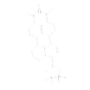 CN1C(=O)c2ccc3c4cccc5c(B6OC(C)(C)C(C)(C)O6)ccc(c6ccc(c2c36)C1=O)c54